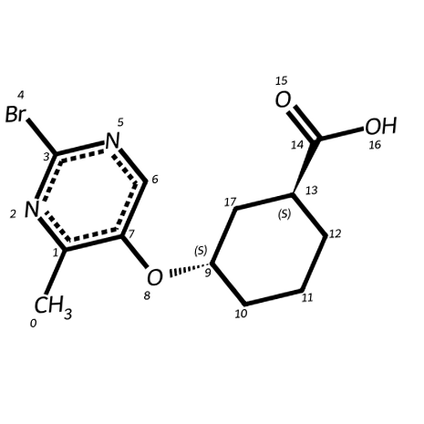 Cc1nc(Br)ncc1O[C@H]1CCC[C@H](C(=O)O)C1